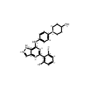 OC1CCN(c2ccc(Nc3nc(-c4c(F)cccc4F)nc4cn[nH]c34)cc2)CC1